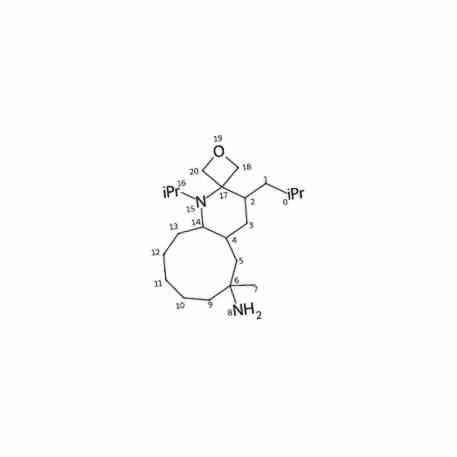 CC(C)CC1CC2CC(C)(N)CCCCCC2N(C(C)C)C12COC2